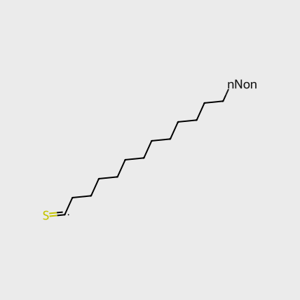 CCCCCCCCCCCCCCCCCCCCC[C]=S